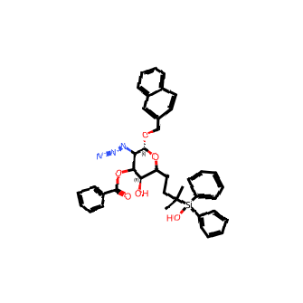 CC(C)(CCC1O[C@@H](OCc2ccc3ccccc3c2)C(N=[N+]=[N-])C(OC(=O)c2ccccc2)[C@@H]1O)[Si](O)(c1ccccc1)c1ccccc1